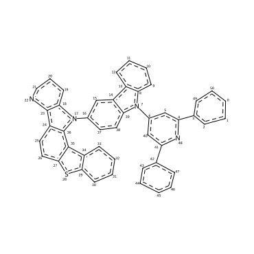 c1ccc(-c2cc(-n3c4ccccc4c4cc(-n5c6cccnc6c6ccc7sc8ccccc8c7c65)ccc43)cc(-c3ccccc3)n2)cc1